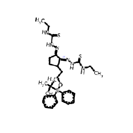 CCNC(=S)NN=C1CCC(CCO[Si](c2ccccc2)(c2ccccc2)C(C)(C)C)/C1=N\NC(=S)NCC